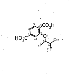 O=C(O)c1ccc(C(=O)O)c(OC(F)C(F)F)c1